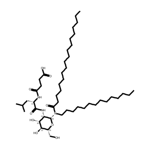 CCCCCCCCCCCCCCCCCC(=O)N(CCCCCCCCCCCCCC)[C@@H]1O[C@H](CO)[C@@H](O)[C@H](O)[C@@H]1NC(=O)[C@H](CC(C)C)NC(=O)CCC(=O)O